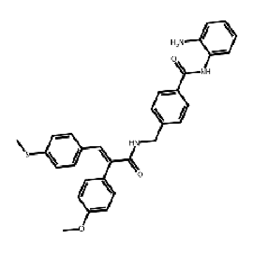 COc1ccc(/C(=C\c2ccc(SC)cc2)C(=O)NCc2ccc(C(=O)Nc3ccccc3N)cc2)cc1